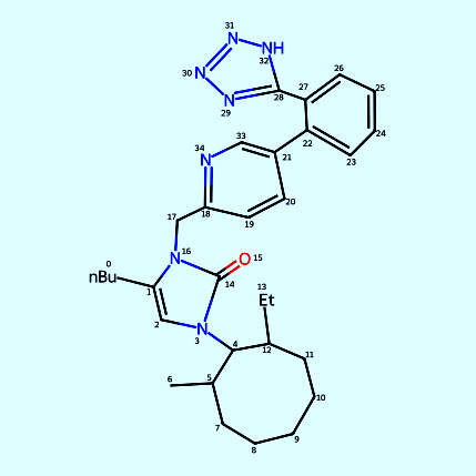 CCCCc1cn(C2C(C)CCCCCC2CC)c(=O)n1Cc1ccc(-c2ccccc2-c2nnn[nH]2)cn1